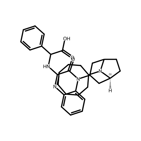 O=C(O)C(Nc1nc2ccccc2n(C2CC3CC[C@@H](C2)N3C2CCCCCCC2)c1=O)c1ccccc1